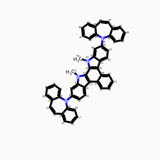 Cn1c2cc(N3c4ccccc4C=Cc4ccccc43)ccc2c2c3ccccc3c3c4ccc(N5c6ccccc6C=Cc6ccccc65)cc4n(C)c3c21